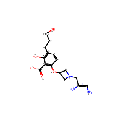 N/C=C(\N)CN1CC(Oc2ccc(CCBO)c(O)c2C(=O)O)C1